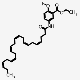 CC/C=C\C/C=C\C/C=C\C/C=C\C/C=C\C/C=C\CCC(=O)Nc1ccc(OF)c(C(=O)OCC)c1